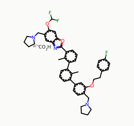 Cc1c(-c2ccc(CN3CCCC3)c(OCCc3ccc(F)cc3)c2)cccc1-c1cccc(-c2nc3cc(CN4CCC[C@H]4C(=O)O)c(OC(F)F)cc3o2)c1C